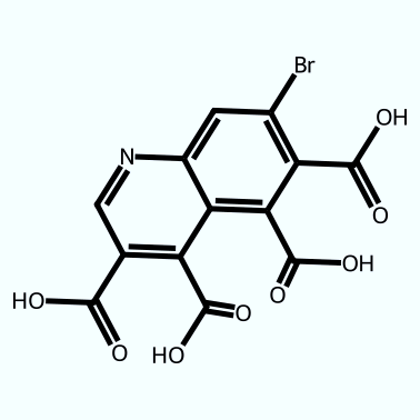 O=C(O)c1cnc2cc(Br)c(C(=O)O)c(C(=O)O)c2c1C(=O)O